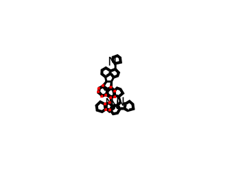 c1ccc(-n2c3ccccc3c3ccc4c5ccccc5n(-c5ccc6c7c(cccc57)C57c8cccc9c(-c%10ccccn%10)ccc(c89)C65c5ccc(-c6ccccn6)c6cccc7c56)c4c32)cc1